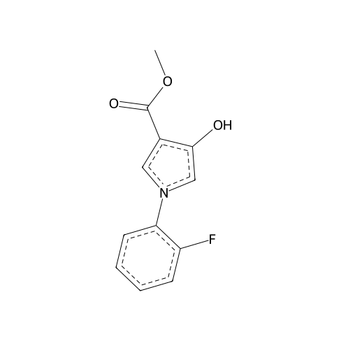 COC(=O)c1cn(-c2ccccc2F)cc1O